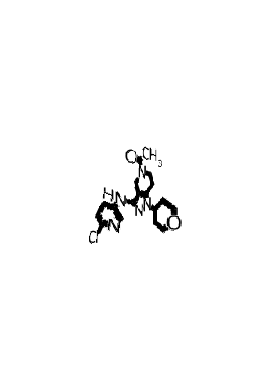 CC(=O)N1CCc2c(c(Nc3ccc(Cl)nc3)nn2C2CCOCC2)C1